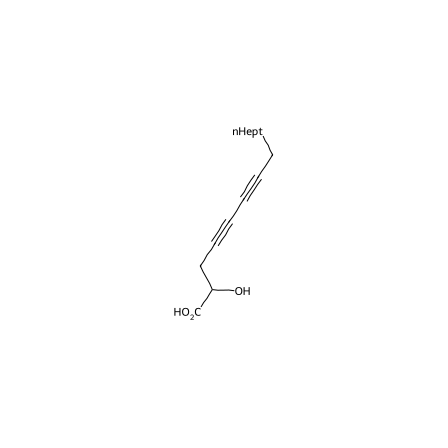 CCCCCCCCC#CC#CCC(O)C(=O)O